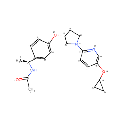 CC(=O)N[C@@H](C)c1ccc(O[C@@H]2CCN(c3ccc(OC4CC4)cn3)C2)cc1